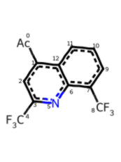 CC(=O)c1cc(C(F)(F)F)nc2c(C(F)(F)F)cccc12